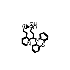 CCCc1cccnc1C(CCS(=O)(=O)O)N1c2ccccc2Sc2ccccc21